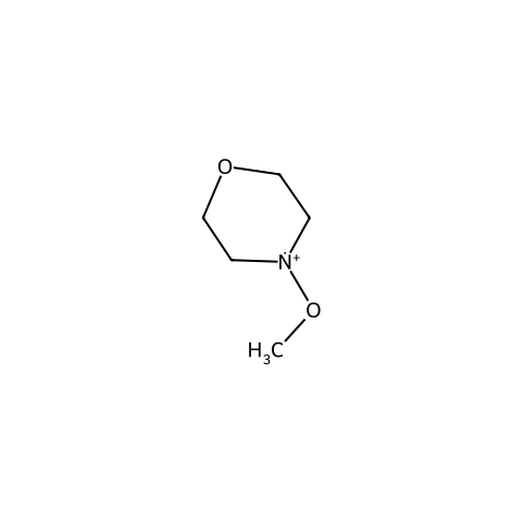 CO[N+]1CCOCC1